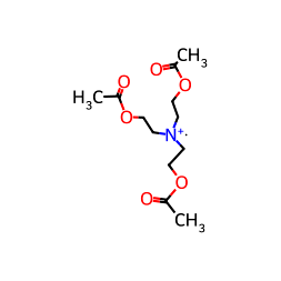 CC(=O)OCC[N+](CCOC(C)=O)CCOC(C)=O